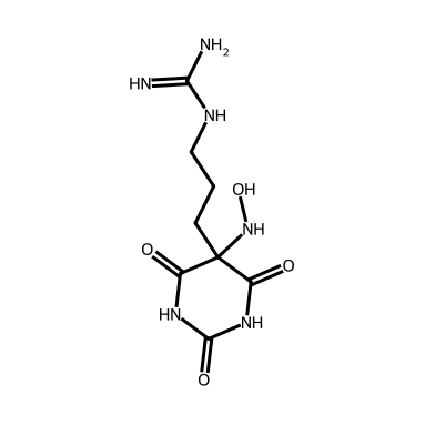 N=C(N)NCCCC1(NO)C(=O)NC(=O)NC1=O